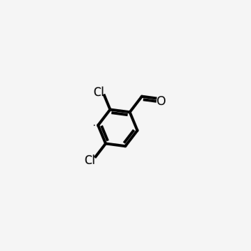 O=Cc1ccc(Cl)[c]c1Cl